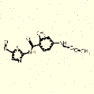 CCCCNc1ccc(C(=O)Nc2ncc(N=O)s2)c(C)c1